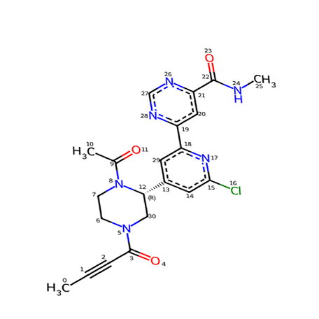 CC#CC(=O)N1CCN(C(C)=O)[C@H](c2cc(Cl)nc(-c3cc(C(=O)NC)ncn3)c2)C1